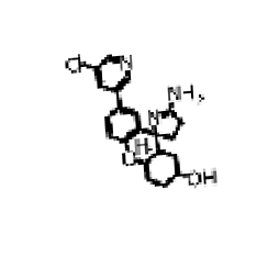 NC1=NC2(CC1)c1cc(-c3cncc(Cl)c3)ccc1OC1CCC(O)C[C@@H]12